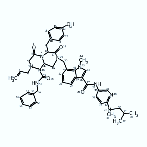 C=CCN1CC(=O)N2C(Cc3ccc(O)cc3)C(=O)N(Cc3cccc4c(C(=O)Nc5ccc(N(C)CC(C)C)nc5)cn(C)c34)CC2N1C(=O)NCc1ccccc1